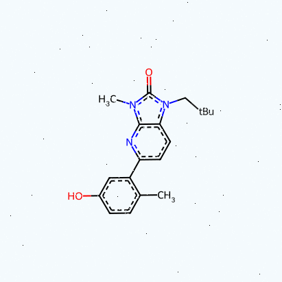 Cc1ccc(O)cc1-c1ccc2c(n1)n(C)c(=O)n2CC(C)(C)C